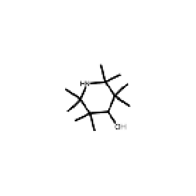 CC1(C)NC(C)(C)C(C)(C)C(O)C1(C)C